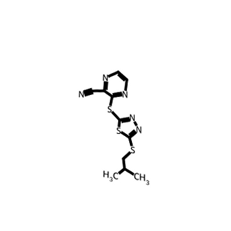 CC(C)CSc1nnc(Sc2nccnc2C#N)s1